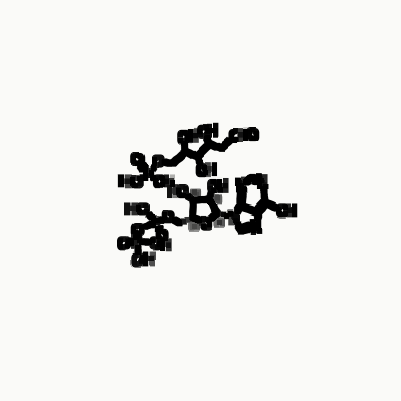 O=CCC(O)C(O)C(O)COP(=O)(O)O.O=P(O)(O)OP(=O)(O)OC[C@H]1O[C@@H](n2cnc3c(O)ncnc32)[C@H](O)[C@@H]1O